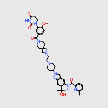 COc1ccc(C(=O)N2CCC3(CC2)CN(CCN2CCC(n4cc5cc(NC(=O)c6cccc(C)n6)c(C(C)(C)O)cc5n4)CC2)C3)cc1N1CCC(=O)NC1=O